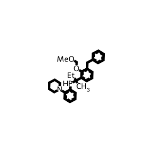 CCC(C)(Pc1ccccc1N1CCCCC1)c1cccc(Cc2ccccc2)c1OCOC